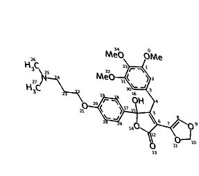 COc1cc(CC2=C(C3=COCO3)C(=O)OC2(O)c2ccc(OCCCN(C)C)cc2)cc(OC)c1OC